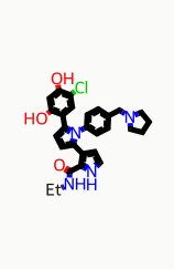 CCNC(=O)c1[nH]ccc1-c1ccc(-c2cc(Cl)c(O)cc2O)n1-c1ccc(CN2CCCC2)cc1